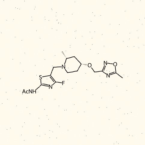 CC(=O)Nc1nc(F)c(CN2CC[C@@H](OCc3noc(C)n3)C[C@H]2C)s1